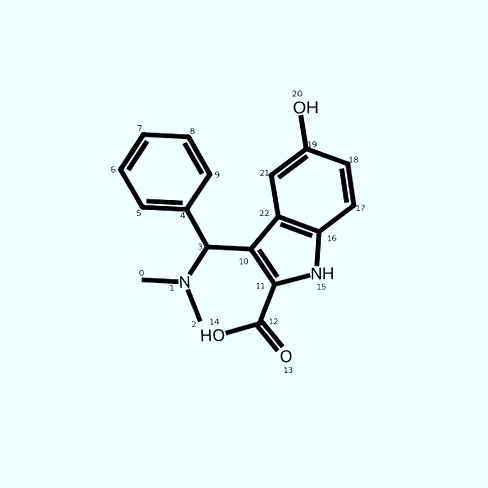 CN(C)C(c1ccccc1)c1c(C(=O)O)[nH]c2ccc(O)cc12